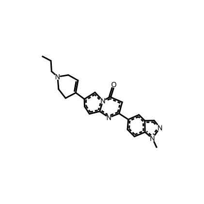 CCCN1CC=C(c2ccc3nc(-c4ccc5c(cnn5C)c4)cc(=O)n3c2)CC1